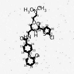 CN(C)CCOCC(CNC(=O)c1ccc(-n2ccccc2=O)cc1)NC(=O)c1ccc(Cl)s1